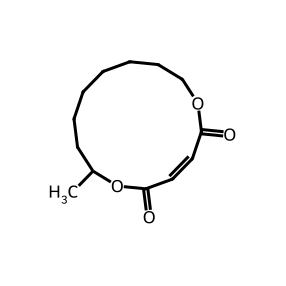 CC1CCCCCCCOC(=O)/C=C\C(=O)O1